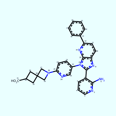 Nc1ncccc1-c1nc2ccc(-c3ccccc3)nc2n1-c1ccc(N2CC3(CC(C(=O)O)C3)C2)nc1